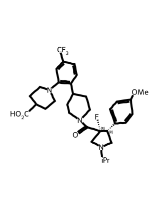 COc1ccc([C@@H]2CN(C(C)C)C[C@@]2(F)C(=O)N2CCC(c3ccc(C(F)(F)F)cc3N3CCC(C(=O)O)CC3)CC2)cc1